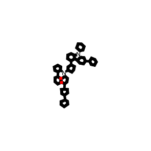 c1ccc(-c2ccc(-c3ccc(N(c4cccc(-c5cccc6c5c5ccc(-c7ccccc7)cc5n6-c5ccccc5)c4)c4ccccc4-c4ccccc4)cc3)cc2)cc1